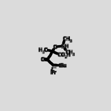 CC(C)[C@H](C(=O)C(C)(O[SiH](C)C)C(=O)O)C(C)(C)C